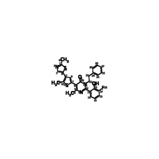 Cc1ncc(-c2cc(-c3c(C)nc(-c4cccc(F)c4O)n(CCc4ccccc4)c3=O)sc2C)s1